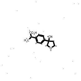 CC(C(=O)O)c1ccc(C2(C#N)CCOC2)cc1